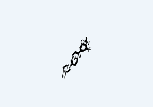 Cc1nc2c(F)cc(C3=CCN4C=C(N5CCNCC5)C=CC4=N3)cc2o1